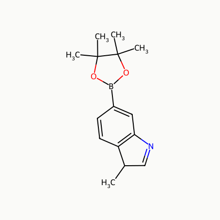 CC1C=Nc2cc(B3OC(C)(C)C(C)(C)O3)ccc21